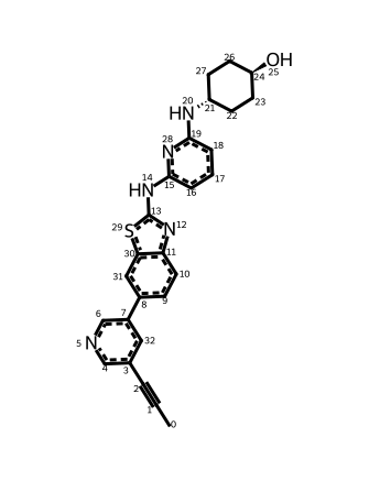 CC#Cc1cncc(-c2ccc3nc(Nc4cccc(N[C@H]5CC[C@H](O)CC5)n4)sc3c2)c1